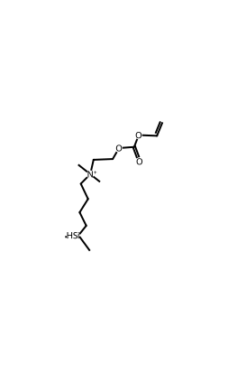 C=COC(=O)OCC[N+](C)(C)CCCC[SiH](C)C